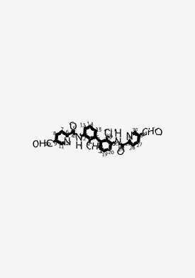 Cc1c(NC(=O)c2ccc(C=O)cn2)cccc1-c1cccc(NC(=O)c2ccc(C=O)cn2)c1Cl